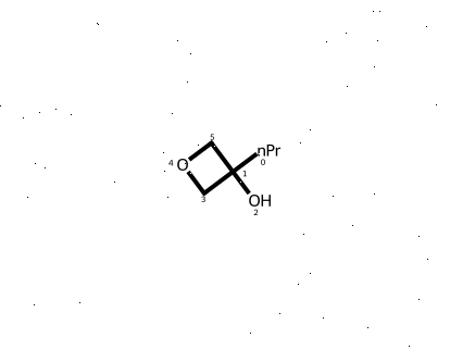 CCCC1(O)COC1